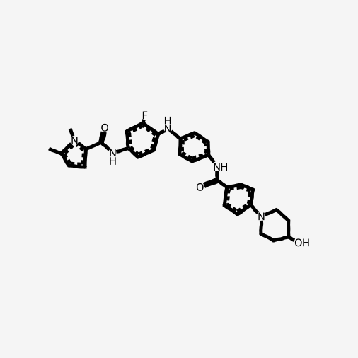 Cc1ccc(C(=O)Nc2ccc(Nc3ccc(NC(=O)c4ccc(N5CCC(O)CC5)cc4)cc3)c(F)c2)n1C